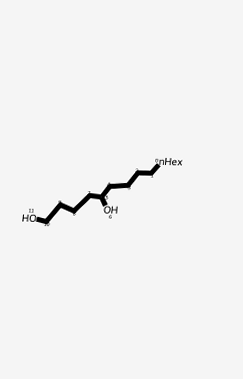 CCCCCCCCCCC(O)CCCCO